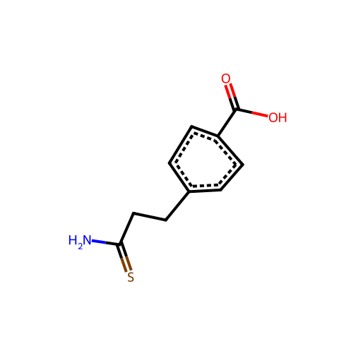 NC(=S)CCc1ccc(C(=O)O)cc1